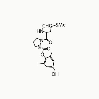 CSCCC(NC=O)C(=O)N1CCC[C@H]1C(=O)Oc1c(C)cc(CO)cc1C